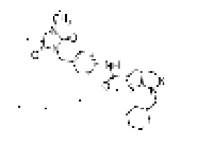 CN1CC(=O)N(Cc2ccc(NC(=O)c3cc4cnn(CC5CCCCC5)c4s3)cc2)C1=O